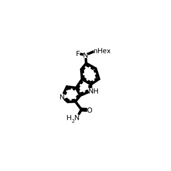 CCCCCCN(F)c1ccc2[nH]c3c(C(N)=O)cncc3c2c1